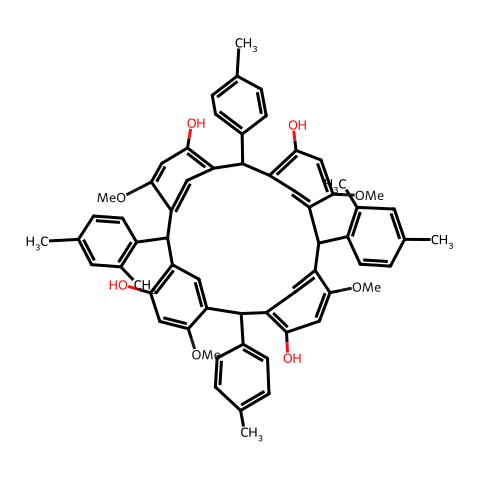 COc1cc(O)c2cc1C(c1ccc(C)cc1)c1cc(c(OC)cc1O)C(c1ccc(C)cc1C)c1cc(c(O)cc1OC)C(c1ccc(C)cc1)c1cc(c(OC)cc1O)C2c1ccc(C)cc1C